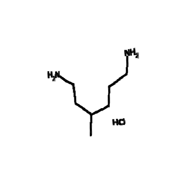 CC(CCN)CCCN.Cl